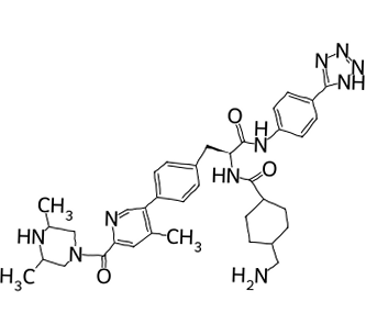 Cc1cc(C(=O)N2CC(C)NC(C)C2)ncc1-c1ccc(C[C@H](NC(=O)C2CCC(CN)CC2)C(=O)Nc2ccc(-c3nnn[nH]3)cc2)cc1